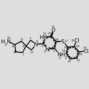 Nc1nc(N2CC3(CCC(N)C3)C2)[nH]c(=O)c1Sc1cccc(Cl)c1Cl